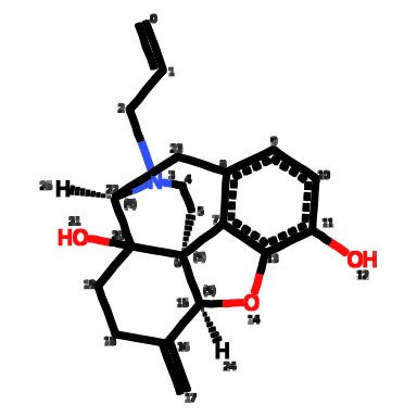 C=CCN1CC[C@]23c4c5ccc(O)c4O[C@H]2C(=C)CCC3(O)[C@H]1C5